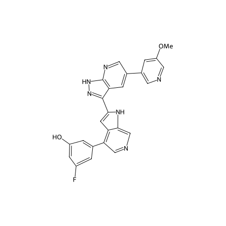 COc1cncc(-c2cnc3[nH]nc(-c4cc5c(-c6cc(O)cc(F)c6)cncc5[nH]4)c3c2)c1